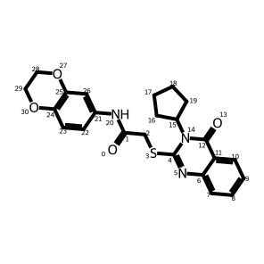 O=C(CSc1nc2ccccc2c(=O)n1C1CCCC1)Nc1ccc2c(c1)OCCO2